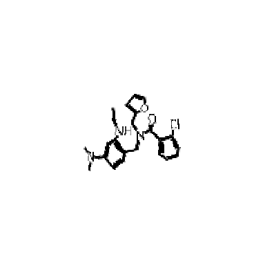 CCNc1cc(N(C)C)ccc1CN(Cc1ccco1)C(=O)c1ccccc1Cl